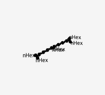 CCCCCCc1ccc2c(c1)c1cc(CCCCCC)ccc1n2-c1ccc(/C=C/c2ccc(/C=C/c3ccc(/C=C/c4ccc5c(c4)C(CCCCCC)(CCCCCC)c4cc(/C=C/c6ccc(/C=C/c7ccc(/C=C/c8ccc(-n9c%10ccc(CCCCCC)cc%10c%10cc(CCCCCC)ccc%109)cc8)cc7)cc6)ccc4-5)cc3)cc2)cc1